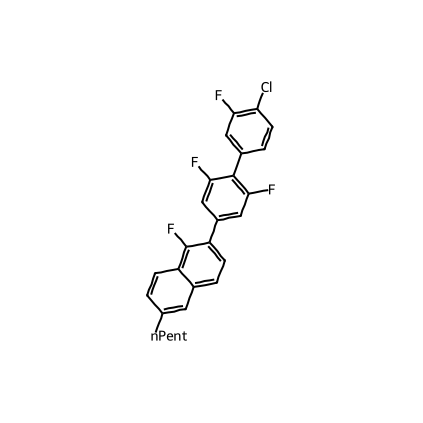 CCCCCc1ccc2c(F)c(-c3cc(F)c(-c4ccc(Cl)c(F)c4)c(F)c3)ccc2c1